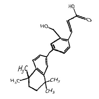 CC1(C)CCC(C)(C)c2cc(-c3ccc(/C=C/C(=O)O)c(CO)c3)ccc21